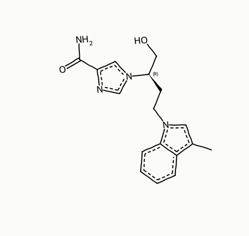 Cc1cn(CC[C@H](CO)n2cnc(C(N)=O)c2)c2ccccc12